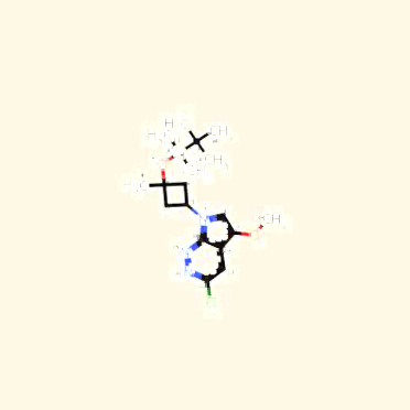 COc1cn(C2CC(C)(O[Si](C)(C)C(C)(C)C)C2)c2nnc(Cl)cc12